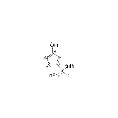 CCCC(C)(CCC)c1cc(O)ns1